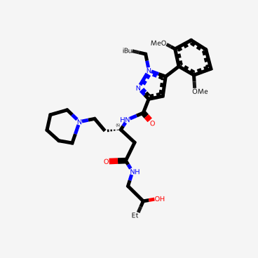 CCC(C)Cn1nc(C(=O)N[C@@H](CCN2CCCCC2)CC(=O)NCC(O)CC)cc1-c1c(OC)cccc1OC